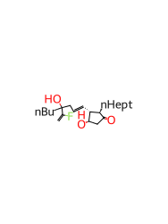 C=C(F)C(O)(C/C=C/[C@H]1[C@H](O)CC(=O)[C@@H]1CCCCCCC)CCCC